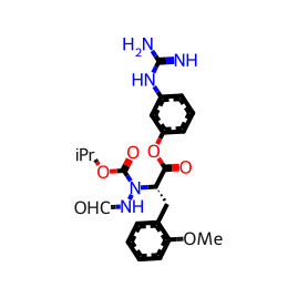 COc1ccccc1C[C@@H](C(=O)Oc1cccc(NC(=N)N)c1)N(NC=O)C(=O)OC(C)C